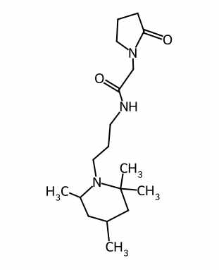 CC1CC(C)N(CCCNC(=O)CN2CCCC2=O)C(C)(C)C1